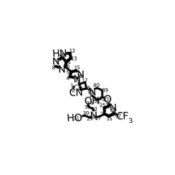 N#CC[C@]1(n2cc(-c3ncnc4[nH]ccc34)cn2)C[C@@H](N2CCC(Oc3cc(CN(CCO)CCO)cc(C(F)(F)F)n3)CC2)C1